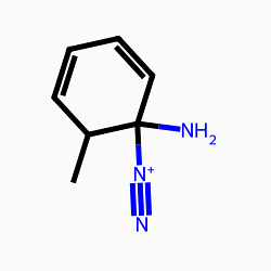 CC1C=CC=CC1(N)[N+]#N